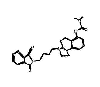 CN(C)C(=O)Oc1cccc2c1CCC1C2CCN1CCCCN1C(=O)c2ccccc2C1=O